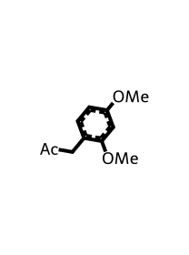 [CH2]C(=O)Cc1ccc(OC)cc1OC